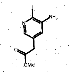 COC(=O)Cc1cnc(I)c(N)c1